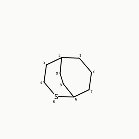 C1CC2CCSC(C1)CC2